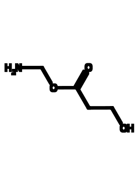 NCOC(=O)CCO